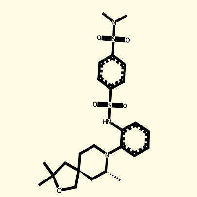 C[C@@H]1C[C@@]2(CCN1c1ccccc1NS(=O)(=O)c1ccc(S(=O)(=O)N(C)C)cc1)COC(C)(C)C2